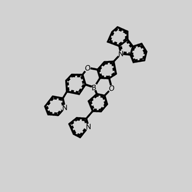 c1ccc(-c2ccc3c(c2)B2c4cc(-c5ccccn5)ccc4Oc4cc(-n5c6ccccc6c6ccccc65)cc(c42)O3)nc1